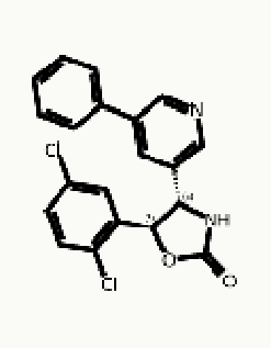 O=C1N[C@@H](c2cncc(-c3ccccc3)c2)[C@H](c2cc(Cl)ccc2Cl)O1